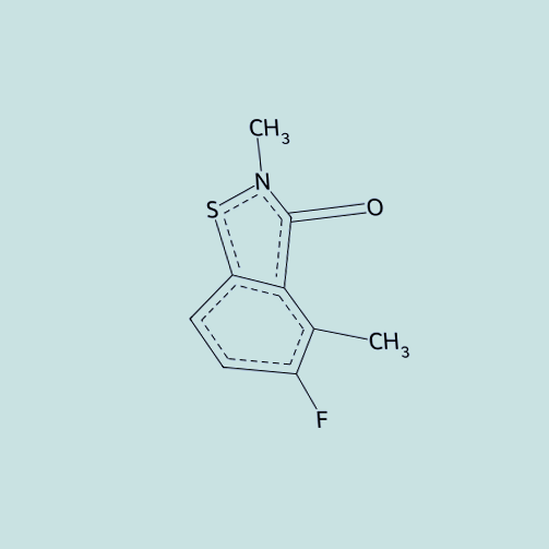 Cc1c(F)ccc2sn(C)c(=O)c12